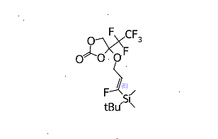 CC(C)(C)[Si](C)(C)/C(F)=C/COC1(C(F)(F)C(F)(F)F)COC(=O)O1